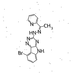 CC(=NNc1nnc2c(n1)[nH]c1cccc(Br)c12)c1ccccn1